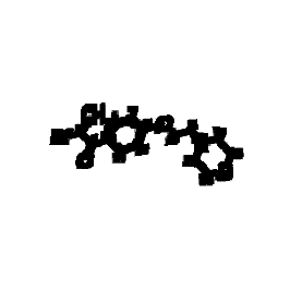 C=C(CC)C(=O)c1ccc(OCCN2CCOCC2)cc1